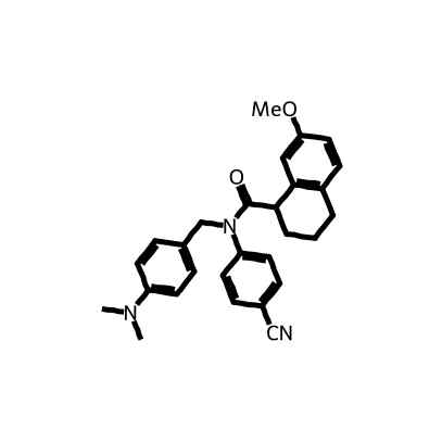 COc1ccc2c(c1)C(C(=O)N(Cc1ccc(N(C)C)cc1)c1ccc(C#N)cc1)CCC2